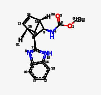 CC(C)(C)OC(=O)N[C@H]1[C@@H](c2nc3ccccc3[nH]2)[C@@H]2C=C[C@H]1C2